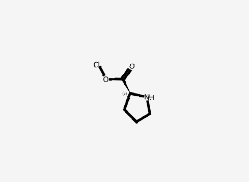 O=C(OCl)[C@@H]1CCCN1